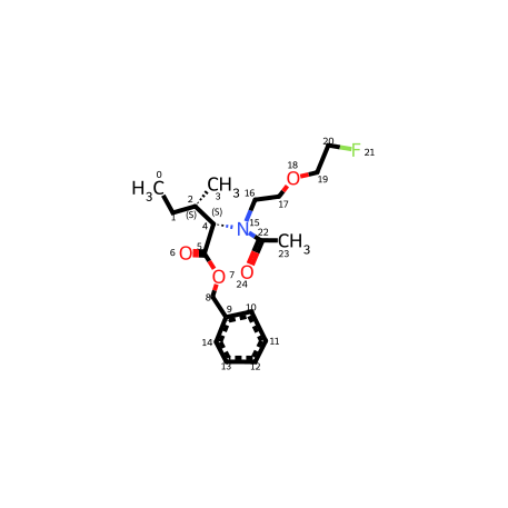 CC[C@H](C)[C@@H](C(=O)OCc1ccccc1)N(CCOCCF)C(C)=O